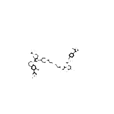 CNC(=O)N1CCc2c(c(N3CCCc4cc(-c5cnn(C)c5)c(C(F)F)cc43)nn2C2CCN(C(=O)CCOCCC(=O)N[C@H](C(=O)N3C[C@H](O)C[C@H]3C(=O)NCc3ccc(-c4scnc4C)cc3)C(C)(C)C)CC2)C1